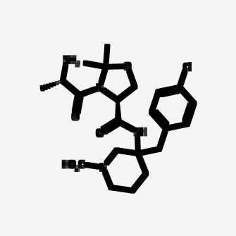 C[C@H](N)C(=O)N1[C@H](C(=O)NC2(Cc3ccc(Cl)cc3)CCCN(C(=O)O)C2)COC1(C)C